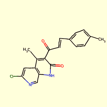 Cc1ccc(C=CC(=O)c2c(C)c3cc(Cl)ncc3[nH]c2=O)cc1